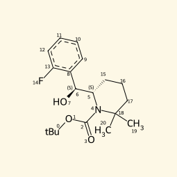 CC(C)(C)OC(=O)N1[C@H]([C@@H](O)c2ccccc2F)CCCC1(C)C